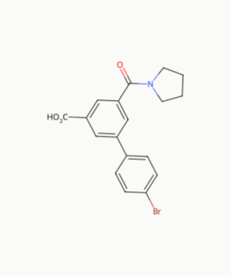 O=C(O)c1cc(C(=O)N2CCCC2)cc(-c2ccc(Br)cc2)c1